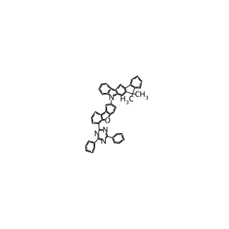 CC1(C)c2ccccc2-c2cc3c4ccccc4n(-c4ccc5oc6c(-c7nc(-c8ccccc8)nc(-c8ccccc8)n7)cccc6c5c4)c3cc21